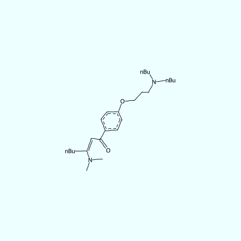 CCCCC(=CC(=O)c1ccc(OCCCN(CCCC)CCCC)cc1)N(C)C